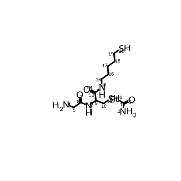 CCC(N)=O.NCC(=O)NC(CS)C(=O)NCCCCCS